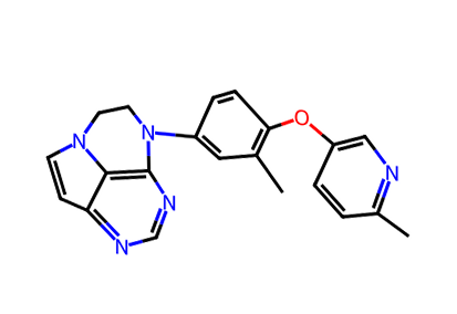 Cc1ccc(Oc2ccc(N3CCn4ccc5ncnc3c54)cc2C)cn1